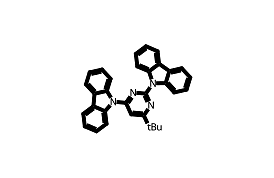 CC(C)(C)c1cc(-n2c3ccccc3c3ccccc32)nc(-n2c3ccccc3c3ccccc32)n1